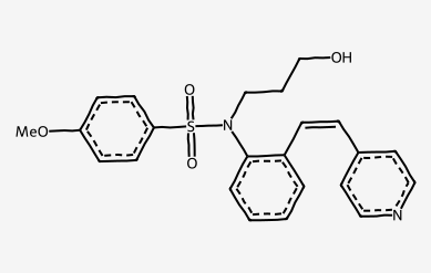 COc1ccc(S(=O)(=O)N(CCCO)c2ccccc2C=Cc2ccncc2)cc1